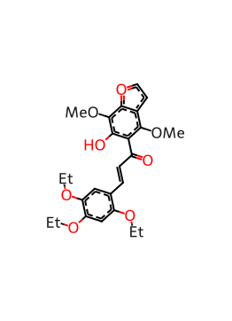 CCOc1cc(OCC)c(OCC)cc1C=CC(=O)c1c(O)c(OC)c2occc2c1OC